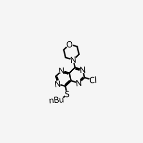 CCCCSc1ncnc2c(N3CCOCC3)nc(Cl)nc12